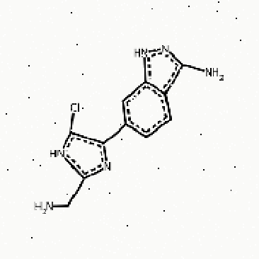 NCc1nc(-c2ccc3c(N)n[nH]c3c2)c(Cl)[nH]1